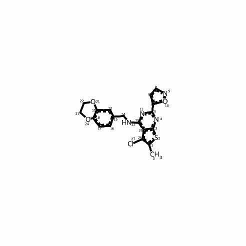 Cc1sc2nc(-c3ccno3)nc(NCc3ccc4c(c3)OCCO4)c2c1Cl